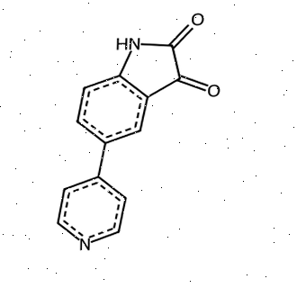 O=C1Nc2ccc(-c3ccncc3)cc2C1=O